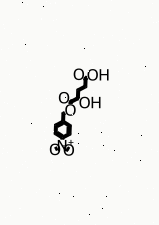 O=C(O)CCC(O)C(=O)OCc1ccc([N+](=O)[O-])cc1